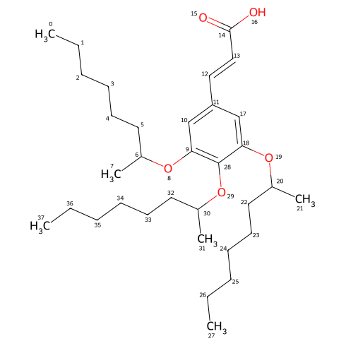 CCCCCCC(C)Oc1cc(C=CC(=O)O)cc(OC(C)CCCCCC)c1OC(C)CCCCCC